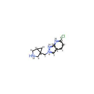 Clc1ccc2cn(C[C@@]34CNCC3C4)nc2n1